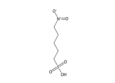 O=[N+]([O-])CCCCCS(=O)(=O)O